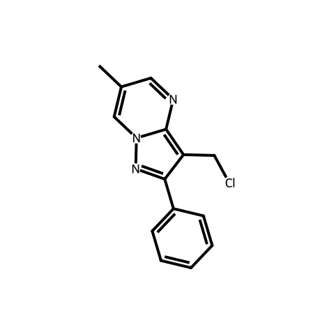 Cc1cnc2c(CCl)c(-c3ccccc3)nn2c1